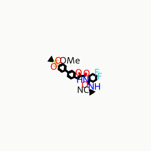 COc1cc(-c2ccc3cc(C(=O)NC4(C(=O)NC5(C#N)CC5)CCC(F)(F)CC4)oc3c2)ccc1S(=O)(=O)C1CC1